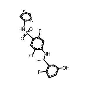 C[C@H](Nc1cc(F)c(S(=O)(=O)Nc2cscn2)cc1Cl)c1cc(O)ccc1F